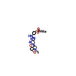 C=CC(=O)N1CC[C@H](N2Cc3cnc(Nc4ccc(CS(=O)(=O)NC)cc4)nc3N(C)C2=O)c2cccc(C)c21